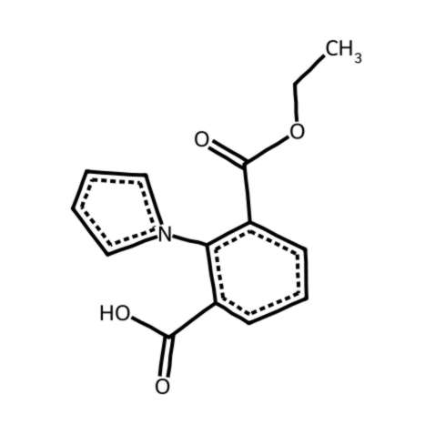 CCOC(=O)c1cccc(C(=O)O)c1-n1cccc1